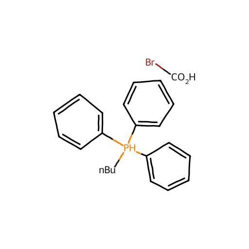 CCCC[PH](c1ccccc1)(c1ccccc1)c1ccccc1.O=C(O)Br